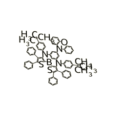 CC(C)(C)c1ccc(N2c3cc(N4c5ccccc5Oc5ccccc54)cc4c3B(c3sc(-c5ccccc5)c(-c5ccccc5)c32)c2sc(-c3ccccc3)c(-c3ccccc3)c2N4c2ccc(C(C)(C)C)cc2)cc1